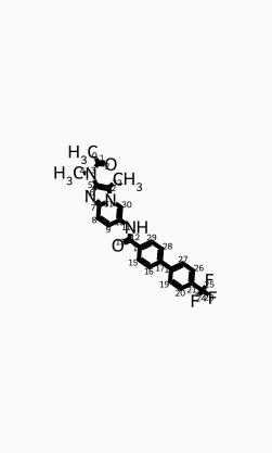 CC(=O)N(C)c1nc2ccc(NC(=O)c3ccc(-c4ccc(C(F)(F)F)cc4)cc3)cn2c1C